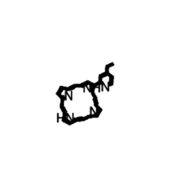 CCc1ccnc(-c2cc3cc4nc(cc5ccc(cc6nc(cc2[nH]3)C=C6)[nH]5)C=C4)c1